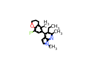 CCc1c(C)nc2c(ccn2C)c1-c1cc(F)c2c(c1C)CCCO2